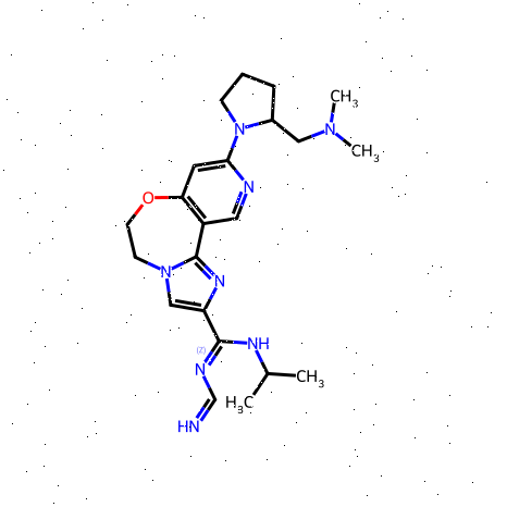 CC(C)N/C(=N\C=N)c1cn2c(n1)-c1cnc(N3CCCC3CN(C)C)cc1OCC2